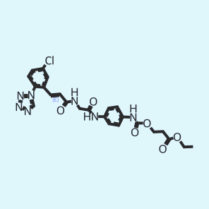 CCOC(=O)CCOC(=O)Nc1ccc(NC(=O)CNC(=O)/C=C/c2cc(Cl)ccc2-n2cnnn2)cc1